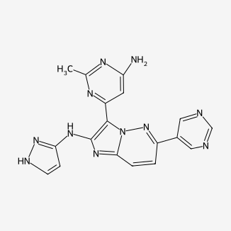 Cc1nc(N)cc(-c2c(Nc3cc[nH]n3)nc3ccc(-c4cncnc4)nn23)n1